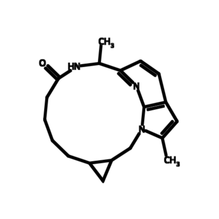 Cc1cc2ccc3nc2n1CC1CC1CCCCC(=O)NC3C